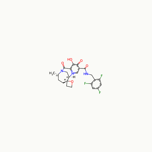 C[C@H]1CC[C@@]2(CCO2)[C@H]2CN1C(=O)c1c(O)c(=O)c(C(=O)NCc3c(F)cc(F)cc3F)cn12